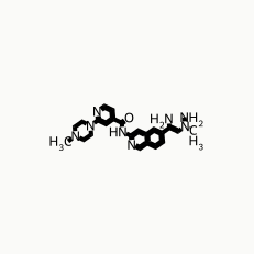 CN(N)/C=C(\N)c1ccc2cnc(NC(=O)c3ccnc(N4CCN(C)CC4)c3)cc2c1